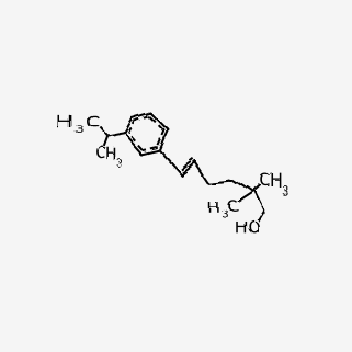 CC(C)c1cccc(/C=C/CCC(C)(C)CO)c1